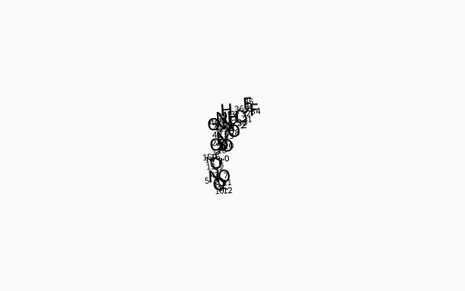 Cc1cc(N(C)C(=O)OC(C)(C)C)cc(C)c1CCS(=O)(=O)N1CCC(NC(=O)C2CCC(=C(F)F)CC2)(C(N)=O)CC1